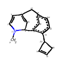 CN1C=CC2=CC1c1cc(ccc1C1C=CC1)C2